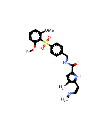 C=N/C=C\c1[nH]c(C(=O)NCc2ccc(S(=O)(=O)c3c(OC)cccc3OC(C)C)cc2)cc1C